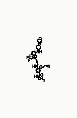 CNC(=O)c1ccc(NCC#Cc2cc3c(N[C@H]4CC[C@@H](N5CCOCC5)CC4)cccc3n2CC(F)(F)F)c(OCCC#N)c1